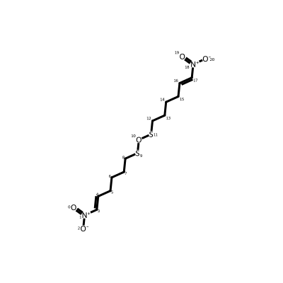 O=[N+]([O-])C=CCCCCSOSCCCCC=C[N+](=O)[O-]